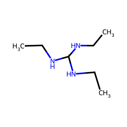 CCN[C](NCC)NCC